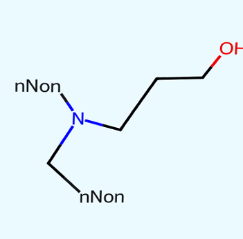 CCCCCCCCCCN(CCCO)CCCCCCCCC